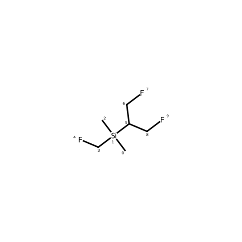 C[Si](C)(CF)C(CF)CF